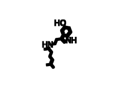 CC(C)=CCCC(C)NCCc1c[nH]c2ccc(O)cc12